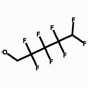 [O]CC(F)(F)C(F)(F)C(F)(F)C(F)F